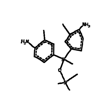 Cc1cc([Si](C)(O[Si](C)(C)C)c2ccc(N)c(C)c2)ccc1N